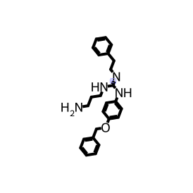 NCCCN/C(=N\CCc1ccccc1)Nc1ccc(OCc2ccccc2)cc1